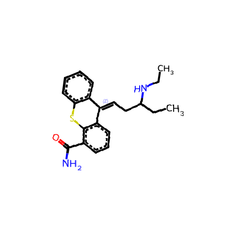 CCNC(CC)C/C=C1/c2ccccc2Sc2c(C(N)=O)cccc21